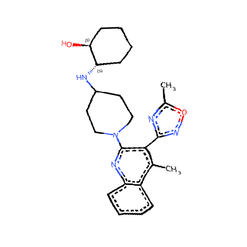 Cc1nc(-c2c(N3CCC(N[C@H]4CCCC[C@@H]4O)CC3)nc3ccccc3c2C)no1